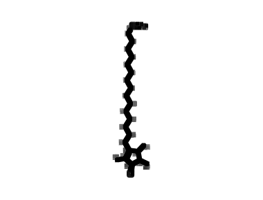 COCCCCCCCCCCCCCCCC1=C(C)C(=O)C(C)C1C